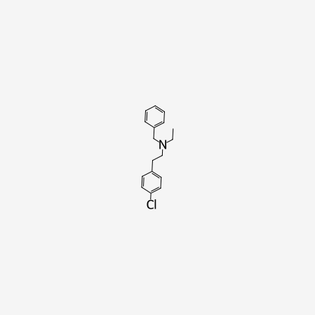 CCN(CCc1ccc(Cl)cc1)Cc1ccccc1